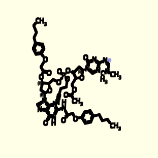 CCCCc1ccc(OCC(=O)Nc2nc3c(ncn3[C@H]3C[C@@H](OC(=O)COc4ccc(CCCC)cc4)C(COP(=O)(OCCC#N)O[C@@H]4C[C@H](n5cnc(/N=C\N(C)C)nc5=O)OC4COC(C)=O)O3)c(=O)[nH]2)cc1